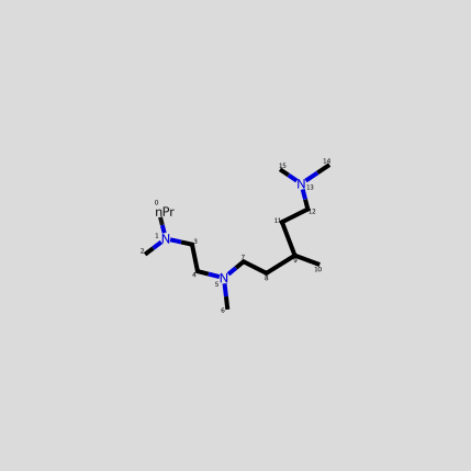 CCCN(C)CCN(C)CCC(C)CCN(C)C